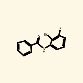 Fc1cccc(NC(=S)c2ccccc2)c1Br